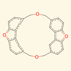 c1cc2oc3ccc4cc3c2cc1COCc1ccc2oc3ccc(cc3c2c1)COC4